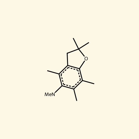 CNc1c(C)c(C)c2c(c1C)CC(C)(C)O2